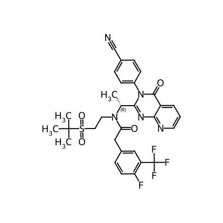 C[C@H](c1nc2ncccc2c(=O)n1-c1ccc(C#N)cc1)N(CCS(=O)(=O)C(C)(C)C)C(=O)Cc1ccc(F)c(C(F)(F)F)c1